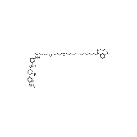 C=C(CCCCCOCCCCCOCCCCCCCCCCCCCCNc1cccc(C(=C)C)c1C(=C)C)Nc1cccc(NSC2C=CC(c3ccc(N)nc3)C(F)C2)c1